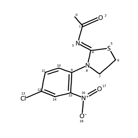 CC(=O)N=C1SCCN1c1ccc(Cl)cc1[N+](=O)[O-]